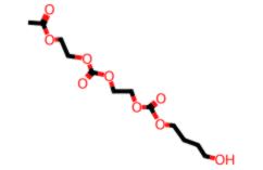 CC(=O)OCCOC(=O)OCCOC(=O)OCCCCO